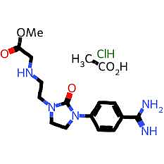 CC(=O)O.COC(=O)CNCCN1CCN(c2ccc(C(=N)N)cc2)C1=O.Cl